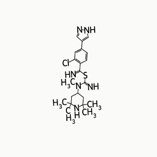 CN(C(=N)SC(=N)c1ccc(-c2cn[nH]c2)cc1Cl)C1CC(C)(C)NC(C)(C)C1